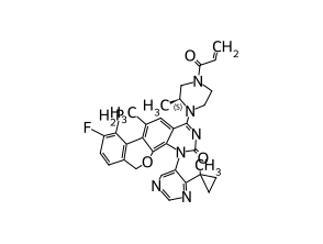 C=CC(=O)N1CCN(c2nc(=O)n(-c3cncnc3C3(C)CC3)c3c4c(c(C)cc23)-c2c(ccc(F)c2P)CO4)[C@@H](C)C1